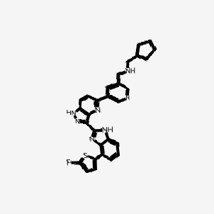 Fc1ccc(-c2cccc3[nH]c(-c4n[nH]c5ccc(-c6cncc(CNCC7CCCC7)c6)nc45)nc23)s1